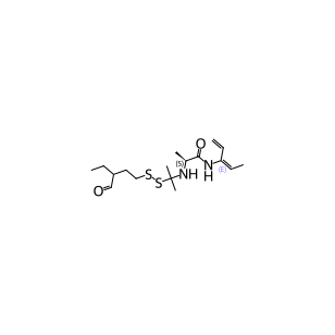 C=C/C(=C\C)NC(=O)[C@H](C)NC(C)(C)SSCCC(C=O)CC